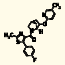 Cc1nc(C(=O)N2CC3CC(Oc4ccc(C(F)(F)F)cn4)[C@@H]2C3)c(-c2ccc(F)cc2)s1